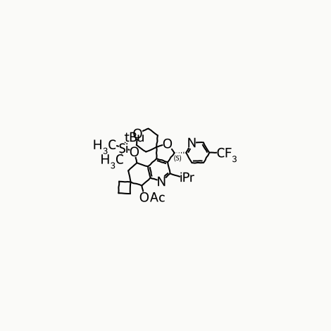 CC(=O)OC1c2nc(C(C)C)c3c(c2C(O[Si](C)(C)C(C)(C)C)CC12CCC2)C1(CCOCC1)O[C@@H]3c1ccc(C(F)(F)F)cn1